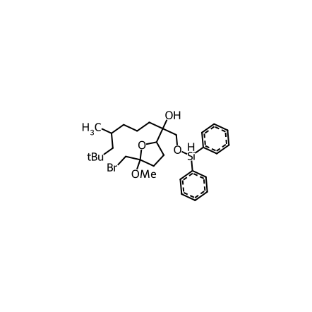 COC1(CBr)CCC(C(O)(CCCC(C)CC(C)(C)C)CO[SiH](c2ccccc2)c2ccccc2)O1